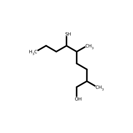 CCCC(S)C(C)CCC(C)CO